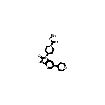 CC(C)(C)OC(=O)N1CCC(n2c(=O)[nH]c3ncc(C4CCOCC4)cc32)CC1